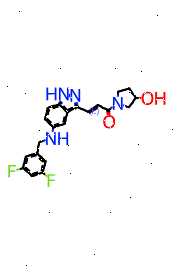 O=C(/C=C/c1n[nH]c2ccc(NCc3cc(F)cc(F)c3)cc12)N1CCC(O)C1